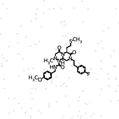 COc1ccc(CNC(=O)N2[C@H]3CN(CCc4ccc(F)cc4)C(=O)[C@H](CCSC)N3C(=O)CN2C)cc1